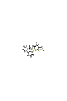 Cc1cc2c(s1)-c1sc([Si](C)(c3ccccc3)c3ccccc3)cc1C2(C)C